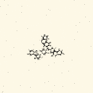 c1ccc2c(c1)ccc1cc(N(c3ccc(-c4cccc5c4oc4ccccc45)cc3)c3ccc4c(ccc5ccccc54)c3)ccc12